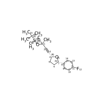 CC(C#C[C@H]1CC[C@@H](c2ccc(F)cc2)O1)O[Si](C)(C)C(C)(C)C